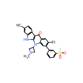 CCc1cc2c(=O)c3c4ccc(C#N)cc4[nH]c3n(C3CN(C)C3)c2cc1-c1cccc(S(=O)(=O)F)c1